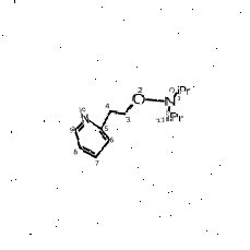 CC(C)N(OCCc1ccccn1)C(C)C